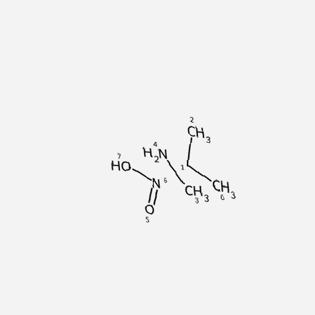 CCC.CN.O=NO